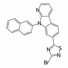 Brc1nsc(-c2ccc3c4cccnc4n(-c4ccc5ccccc5c4)c3c2)n1